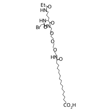 CCC(=O)NCCCC(NC(=O)CBr)C(=O)NCCOCCOCCOCCNC(=O)CCCCCCCCCCCCCCCCC(=O)O